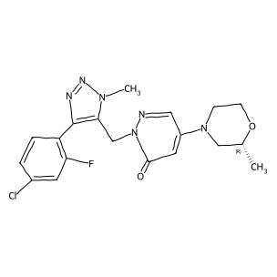 C[C@@H]1CN(c2cnn(Cc3c(-c4ccc(Cl)cc4F)nnn3C)c(=O)c2)CCO1